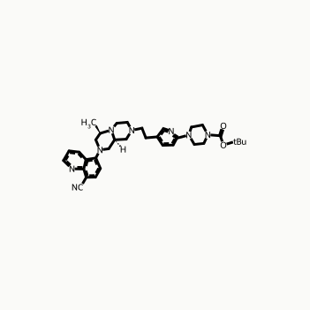 C[C@@H]1CN(c2ccc(C#N)c3ncccc23)C[C@@H]2CN(CCc3ccc(N4CCN(C(=O)OC(C)(C)C)CC4)nc3)CCN21